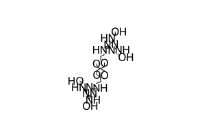 OCNc1nc(NCO)nc(NCCC2OCC3(CO2)COC(CCNc2nc(NCO)nc(NCO)n2)OC3)n1